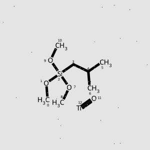 CO[Si](CC(C)C)(OC)OC.[O]=[Ti]